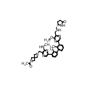 CNc1nc(-c2cccc(-c3cccc(-c4cnc(CNC[C@@H]5CCC(=O)N5)c(OC)n4)c3Cl)c2Cl)cnc1CN1CC2(C1)CN(C(C)=O)C2